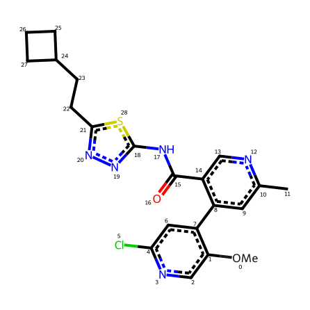 COc1cnc(Cl)cc1-c1cc(C)ncc1C(=O)Nc1nnc(CCC2CCC2)s1